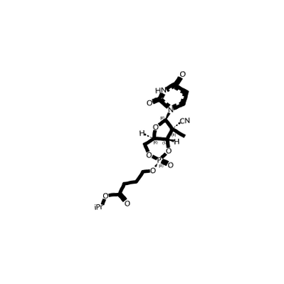 CC(C)OC(=O)CCCO[P@]1(=O)OC[C@H]2O[C@@H](n3ccc(=O)[nH]c3=O)[C@](C)(C#N)[C@@H]2O1